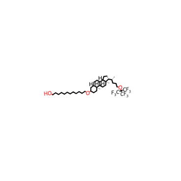 C[C@H](CCCOC(C(F)(F)F)(C(F)(F)F)C(F)(F)F)[C@H]1CC[C@H]2[C@@H]3CC[C@@H]4C[C@H](OCCCCCCCCCCCCO)CC[C@]4(C)[C@H]3CC[C@]12C